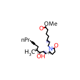 CCCC#CC[C@H](C)[C@H](O)/C=C/[C@H]1CCC(=O)N1C/C=C/CCCC(=O)OC